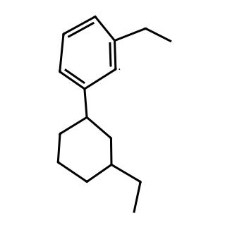 CCc1[c]c(C2CCCC(CC)C2)ccc1